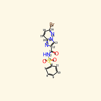 O=C(NS(=O)(=O)c1ccccc1)c1cn2nc(Br)ccc2n1